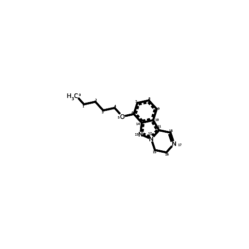 CCCCCOc1cccc2c3n(nc12)CCN=C3